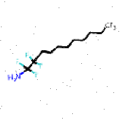 NC(F)(F)C(F)(F)CCCCCCCCC(F)(F)F